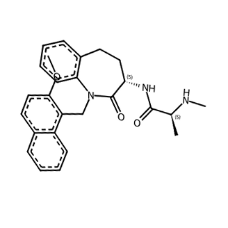 CN[C@@H](C)C(=O)N[C@H]1CCc2ccccc2N(Cc2c(OC)ccc3ccccc23)C1=O